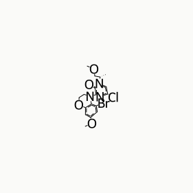 COC[C@H](C)n1cc(Cl)nc(N2CCOc3cc(OC)cc(Br)c32)c1=O